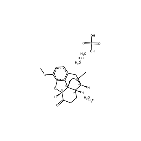 COc1ccc2c3c1O[C@H]1C(=O)CC[C@H]4[C@@H](C2)N(C)CC[C@]314.O.O.O.O.O.O=S(=O)(O)O